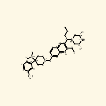 CCC[C@H](c1nc2ccc(CN3CCC(c4cccc(O)c4)(N(C)C)CC3)cc2nc1CC)N1C[C@@H](C)N[C@@H](C)C1